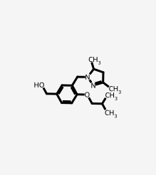 CC1=NN(Cc2cc(CO)ccc2OCC(C)C)C(C)C1